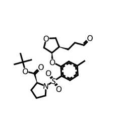 Cc1ccc(S(=O)(=O)N2CCC[C@H]2C(=O)OC(C)(C)C)c(O[C@H]2COC[C@H]2CCC=O)c1